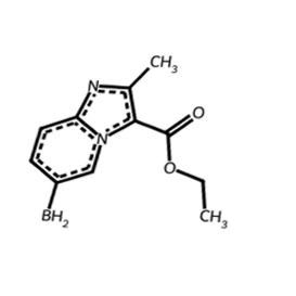 Bc1ccc2nc(C)c(C(=O)OCC)n2c1